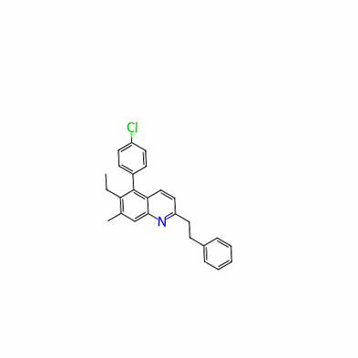 CCc1c(C)cc2nc(CCc3ccccc3)ccc2c1-c1ccc(Cl)cc1